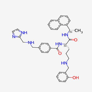 C[C@H](NC(=O)[C@H](CCCNCc1ccccc1O)NC(=O)c1ccc(CNCc2ncc[nH]2)cc1)c1cccc2ccccc12